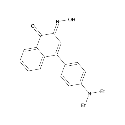 CCN(CC)c1ccc(C2=CC(=NO)C(=O)c3ccccc32)cc1